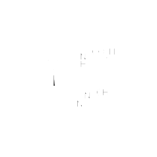 Cn1cc2c([C@H]3C[C@@H]3CNC(=O)O)cccc2n1